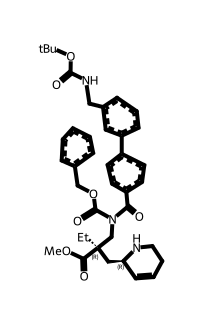 CC[C@@](C[C@@H]1C=CCCN1)(CN(C(=O)OCc1ccccc1)C(=O)c1ccc(-c2cccc(CNC(=O)OC(C)(C)C)c2)cc1)C(=O)OC